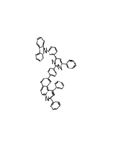 c1ccc(-c2cc(-c3cccc(-n4c5ccccc5c5ccccc54)c3)nc(-c3ccc(-c4ccc5ccc6nc(-c7ccccc7)cc(-c7ccccc7)c6c5c4)cc3)n2)cc1